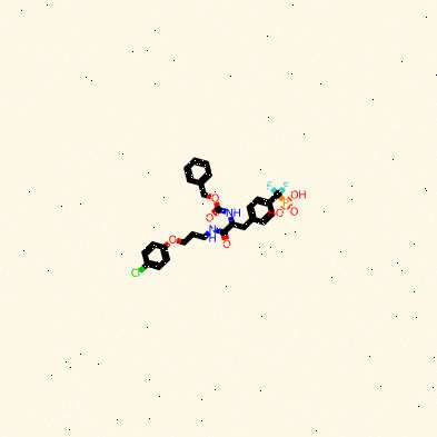 O=C(NC(Cc1ccc(C(F)(F)P(=O)(O)O)cc1)C(=O)NCCCOc1ccc(Cl)cc1)OCc1ccccc1